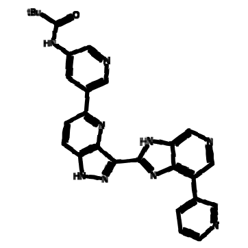 CC(C)(C)C(=O)Nc1cncc(-c2ccc3[nH]nc(-c4nc5c(-c6cccnc6)cncc5[nH]4)c3n2)c1